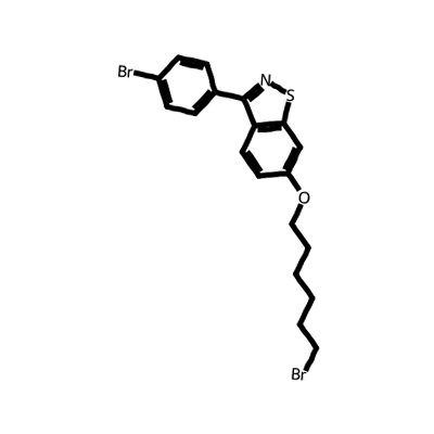 BrCCCCCCOc1ccc2c(-c3ccc(Br)cc3)nsc2c1